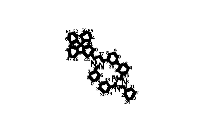 c1ccc(-c2nc(-c3cccc(-c4cccc(-c5nc(-c6ccccc6)nc(-c6ccccc6)n5)c4)c3)cc(-c3ccc4c(c3)-c3ccccc3C4(c3ccccc3)c3ccccc3)n2)cc1